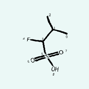 CC(C)C(F)S(=O)(=O)O